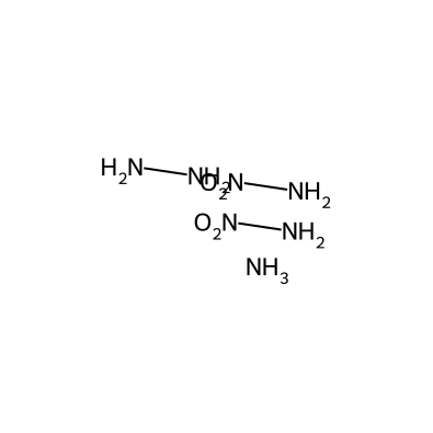 N.NN.N[N+](=O)[O-].N[N+](=O)[O-]